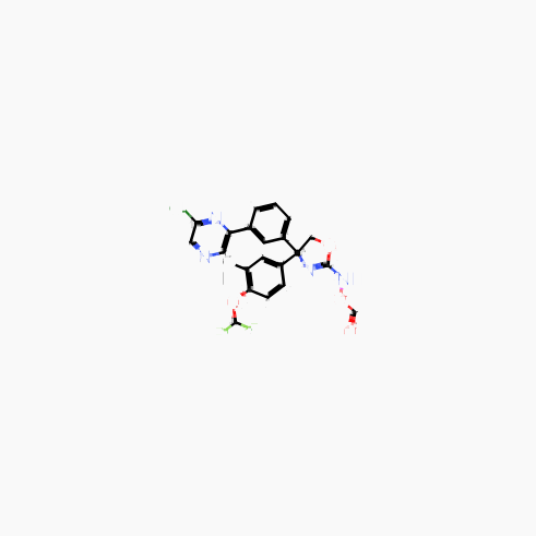 Cc1cc(C2(c3cccc(-c4cncc(Cl)n4)c3)COC(NOC=O)=N2)ccc1OC(F)F